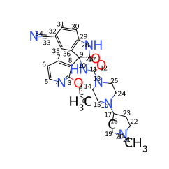 CCOc1ncccc1C1(NC(=O)N2CCN(C3CCN(C)CC3)CC2)C(=O)Nc2ccc(C#N)cc21